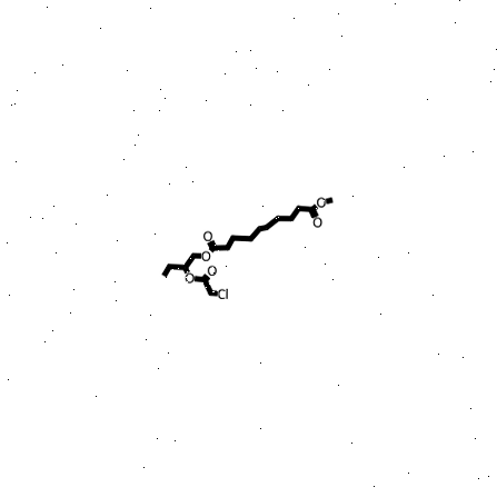 CCC(COC(=O)CCCCCCCCC(=O)OC)OC(=O)CCl